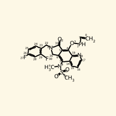 C=CPOc1c2c(c(N(C)S(C)(=O)=O)c3cccnc13)CN(Cc1ccc(F)cc1F)C2=O